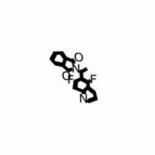 CC(c1c(F)cc2ncccc2c1F)N1C(=O)c2ccccc2C1=O